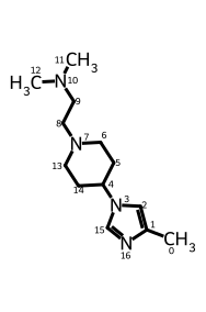 Cc1cn(C2CCN(CCN(C)C)CC2)cn1